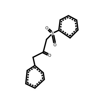 O=C(Cc1ccccc1)CS(=O)(=O)c1ccccc1